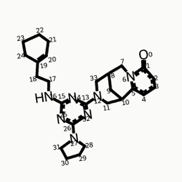 O=c1cccc2n1CC1CC2CN(c2nc(NCCC3=CCCCC3)nc(N3CCCC3)n2)C1